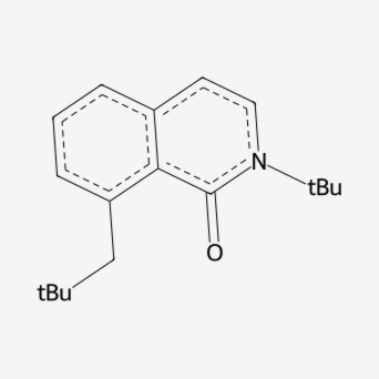 CC(C)(C)Cc1cccc2ccn(C(C)(C)C)c(=O)c12